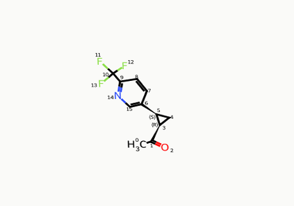 CC(=O)[C@@H]1C[C@@H]1c1ccc(C(F)(F)F)nc1